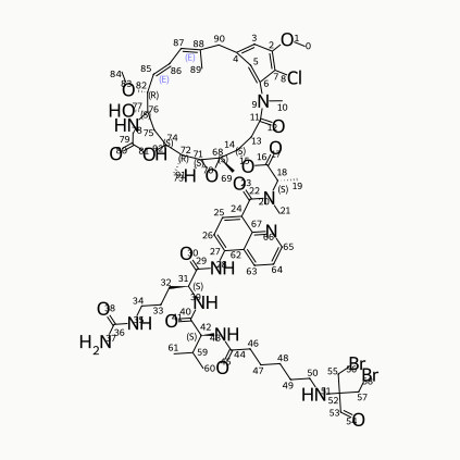 COc1cc2cc(c1Cl)N(C)C(=O)C[C@H](OC(=O)[C@H](C)N(C)C(=O)c1ccc(NC(=O)[C@H](CCCNC(N)=O)NC(=O)[C@@H](NC(=O)CCCCCNC(C=O)(CBr)CBr)C(C)C)c3cccnc13)[C@]1(C)O[C@H]1[C@H](C)[C@@H]1C[C@@](O)(NC(=O)O1)[C@H](OC)/C=C/C=C(\C)C2